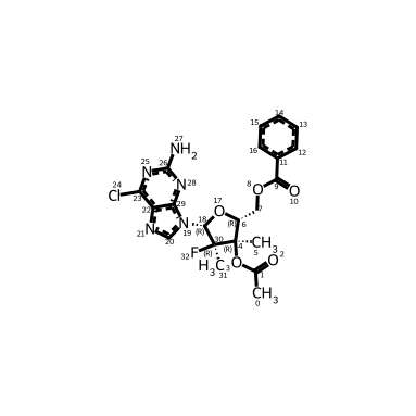 CC(=O)O[C@]1(C)[C@@H](COC(=O)c2ccccc2)O[C@@H](n2cnc3c(Cl)nc(N)nc32)[C@]1(C)F